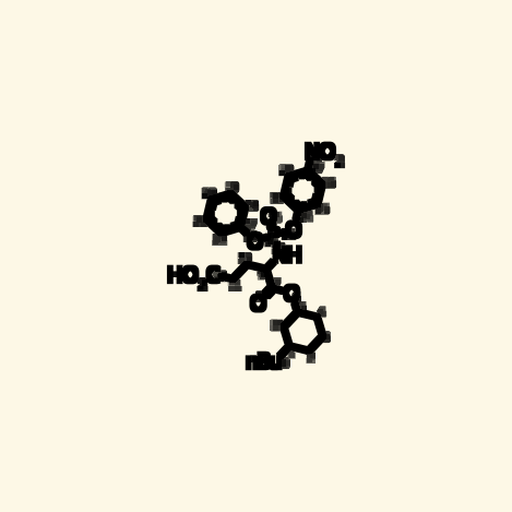 CCCCC1CCCC(OC(=O)C(CCC(=O)O)NP(=O)(Oc2ccccc2)Oc2ccc([N+](=O)[O-])cc2)C1